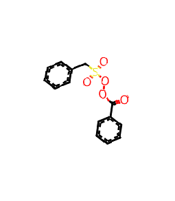 O=C(OOS(=O)(=O)Cc1ccccc1)c1ccccc1